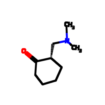 CN(C)C[C@@H]1CCCCC1=O